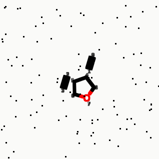 C#C.C#C.C1CCOC1